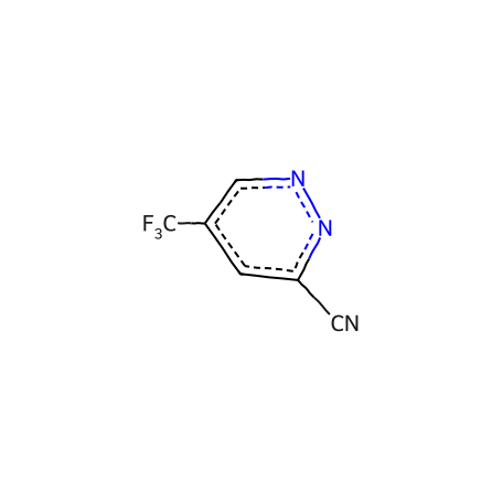 N#Cc1cc(C(F)(F)F)cnn1